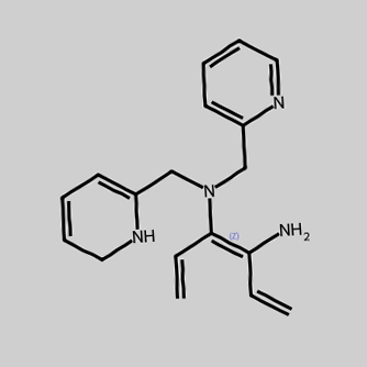 C=C/C(N)=C(\C=C)N(CC1=CC=CCN1)Cc1ccccn1